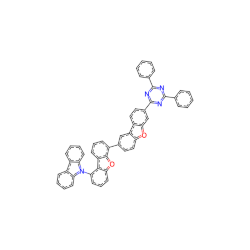 c1ccc(-c2nc(-c3ccccc3)nc(-c3ccc4c(c3)oc3ccc(-c5cccc6c5oc5cccc(-n7c8ccccc8c8ccccc87)c56)cc34)n2)cc1